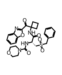 O=C(NC1(C(=O)c2nc3ccccc3o2)CCC1)[C@H](CS(=O)(=O)Cc1ccccc1)NC(=O)N1CCOCC1